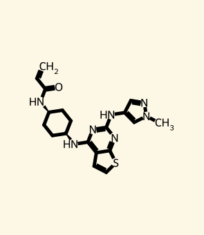 C=CC(=O)N[C@H]1CC[C@@H](Nc2nc(Nc3cnn(C)c3)nc3sccc23)CC1